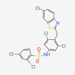 O=S(=O)(Nc1cc(Cl)c(Cc2nc3ccc(Cl)cc3s2)c(Cl)c1)c1ccc(Cl)cc1Cl